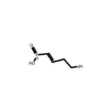 CCCCCC=C[PH](=O)O